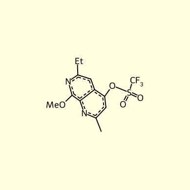 CCc1cc2c(OS(=O)(=O)C(F)(F)F)cc(C)nc2c(OC)n1